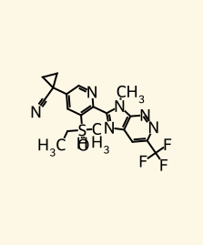 CC[SH](C)(=O)c1cc(C2(C#N)CC2)cnc1-c1nc2cc(C(F)(F)F)nnc2n1C